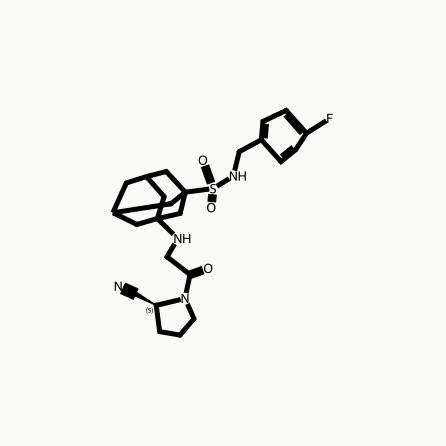 N#C[C@@H]1CCCN1C(=O)CNC12CC3CC(C1)CC(S(=O)(=O)NCc1ccc(F)cc1)(C3)C2